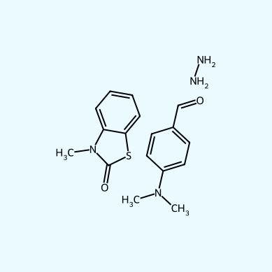 CN(C)c1ccc(C=O)cc1.Cn1c(=O)sc2ccccc21.NN